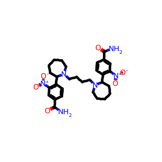 NC(=O)c1ccc(C2CCCCCN2CCCCN2CCCCCC2c2ccc(C(N)=O)cc2[N+](=O)[O-])c([N+](=O)[O-])c1